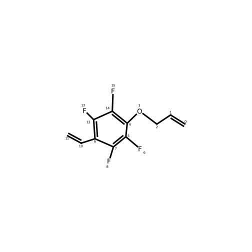 C=CCOc1c(F)c(F)c(C=C)c(F)c1F